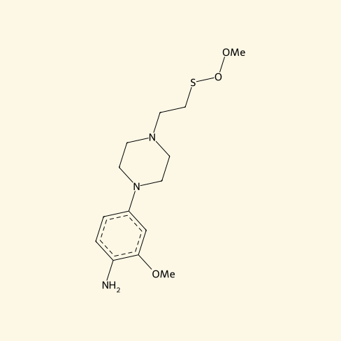 COOSCCN1CCN(c2ccc(N)c(OC)c2)CC1